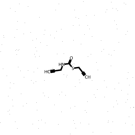 C#CCNC(=O)SCC#C